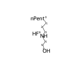 CCCCCCCCNCCO.F